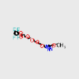 CCOCc1cn(CCOCCOCCOCCOCCC(=O)Oc2c(F)c(F)cc(F)c2F)nn1